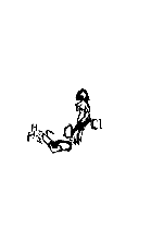 CC1(C)CC(n2nnc3c(Cl)n(Cc4ccccc4F)nc3c2=O)CCO1